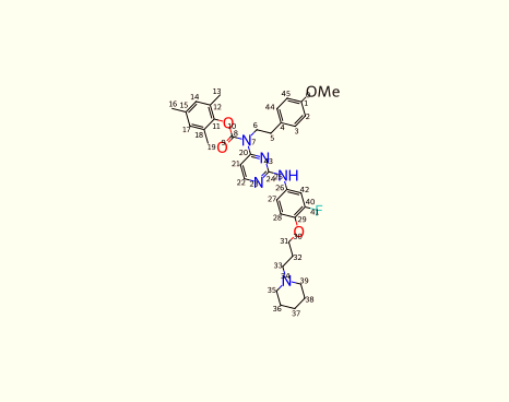 COc1ccc(CCN(C(=O)Oc2c(C)cc(C)cc2C)c2ccnc(Nc3ccc(OCCCN4CCCCC4)c(F)c3)n2)cc1